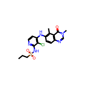 CCCS(=O)(=O)Nc1nccc(Nc2ccc3ncn(C)c(=O)c3c2C)c1Cl